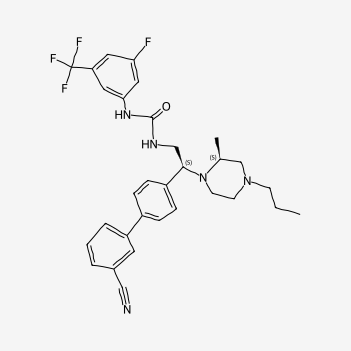 CCCN1CCN([C@H](CNC(=O)Nc2cc(F)cc(C(F)(F)F)c2)c2ccc(-c3cccc(C#N)c3)cc2)[C@@H](C)C1